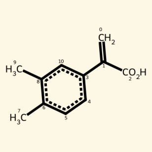 C=C(C(=O)O)c1ccc(C)c(C)c1